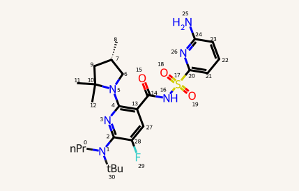 CCCN(c1nc(N2C[C@@H](C)CC2(C)C)c(C(=O)NS(=O)(=O)c2cccc(N)n2)cc1F)C(C)(C)C